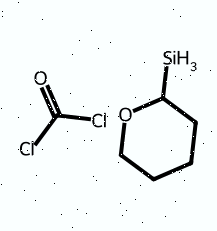 O=C(Cl)Cl.[SiH3]C1CCCCO1